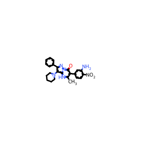 Cc1[nH]c2c(N3CCCCC3)c(-c3ccccc3)nn2c(=O)c1-c1ccc([N+](=O)[O-])c(N)c1